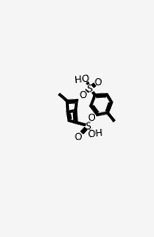 Cc1cc2c(S(=O)(=O)O)cc1-2.Cc1ccc(S(=O)(=O)O)cc1